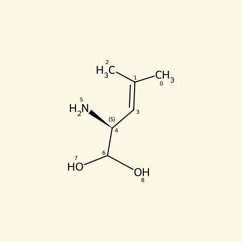 CC(C)=C[C@H](N)C(O)O